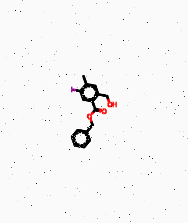 Cc1cc(CO)c(C(=O)OCc2ccccc2)cc1I